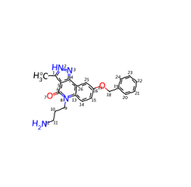 Cc1[nH]nc2c1c(=O)n(CCCN)c1ccc(OCc3ccccc3)cc21